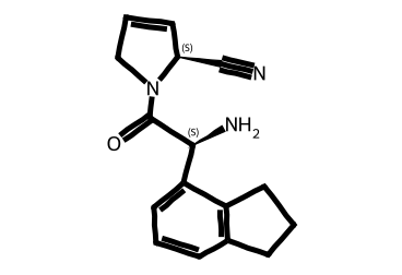 N#C[C@@H]1C=CCN1C(=O)[C@@H](N)c1cccc2c1CCC2